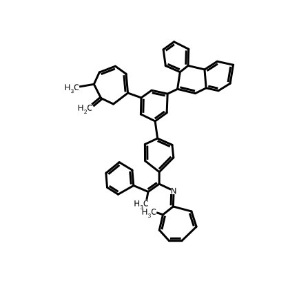 C=C1CC(c2cc(-c3ccc(C(/N=c4/cccccc4C)=C(/C)c4ccccc4)cc3)cc(-c3cc4ccccc4c4ccccc34)c2)=CC=CC1C